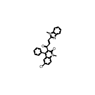 Cn1c(C=CC(=O)c2c(-c3ccccc3)c3cc(Cl)ccc3n(C)c2=O)nc2ccccc21